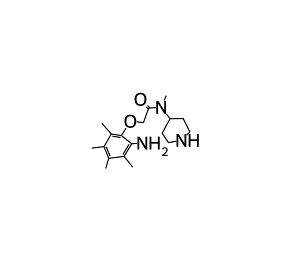 Cc1c(C)c(C)c(OCC(=O)N(C)C2CCNCC2)c(N)c1C